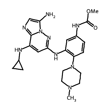 COC(=O)Nc1ccc(N2CCN(C)CC2)c(Nc2cc(NC3CC3)c3ncc(N)n3n2)c1